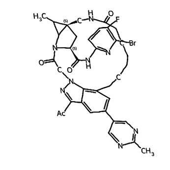 CC(=O)c1nn2c3c(cc(-c4cnc(C)nc4)cc13)CCCCCCC(=O)NC[C@@]13C[C@@H](C(=O)Nc4ccc(F)c(Br)n4)N(C(=O)C2)C1C3C